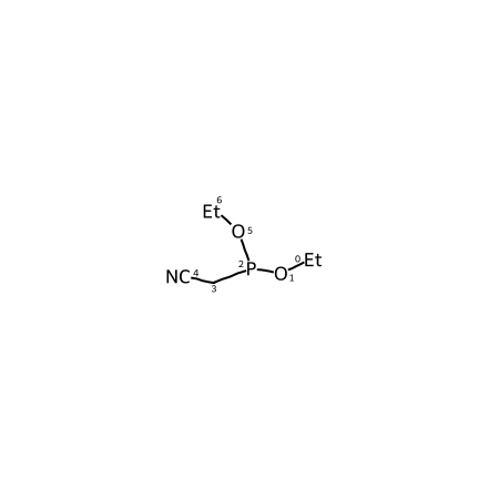 CCOP(CC#N)OCC